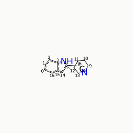 c1ccc2[nH]c(C3CN4CCC3CC4)cc2c1